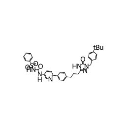 CC(C)(C)c1ccc(Cn2nc(CCCc3ccc(-c4ccc(NC(=O)NS(=O)(=O)c5ccccc5)cn4)cc3)[nH]c2=O)cc1